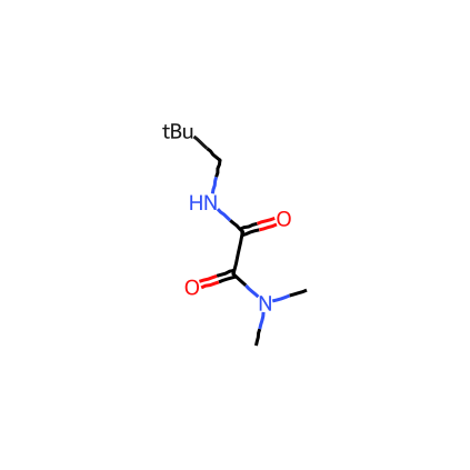 CN(C)C(=O)C(=O)NCC(C)(C)C